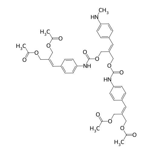 CNc1ccc(C=C(COC(=O)Nc2ccc(C=C(COC(C)=O)COC(C)=O)cc2)COC(=O)Nc2ccc(C=C(COC(C)=O)COC(C)=O)cc2)cc1